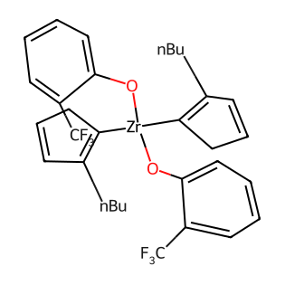 CCCCC1=[C]([Zr]([O]c2ccccc2C(F)(F)F)([O]c2ccccc2C(F)(F)F)[C]2=C(CCCC)C=CC2)CC=C1